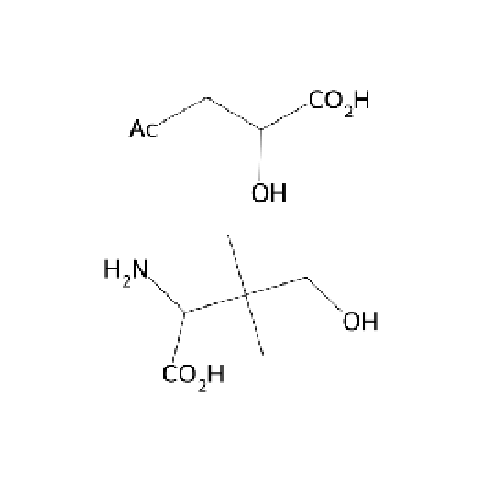 CC(=O)CC(O)C(=O)O.CC(C)(CO)C(N)C(=O)O